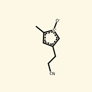 Cc1cc(CCC#N)c[s+]1[O-]